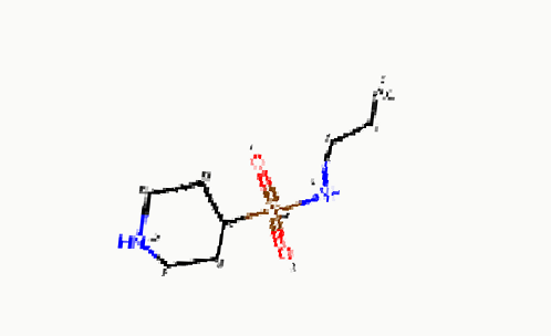 CC(=O)CCNS(=O)(=O)C1CCNCC1